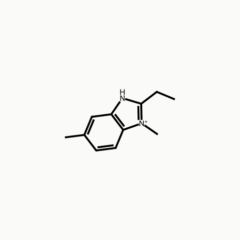 CCc1[nH]c2cc(C)ccc2[n+]1C